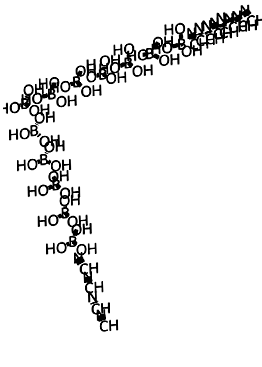 C#N.C#N.C#N.C#N.C#N.C#N.C#N.C#N.C#N.C#N.C#N.C#N.OB(O)O.OB(O)O.OB(O)O.OB(O)O.OB(O)O.OB(O)O.OB(O)O.OB(O)O.OB(O)O.OB(O)O.OB(O)O.OB(O)O